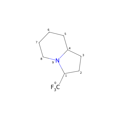 FC(F)(F)C1CCC2CCCCN21